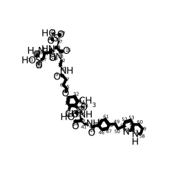 Cc1cc(OCCCC(=O)NCCNC(=O)[C@H](CS(=O)(=O)O)NC(=O)[C@@H](N)CS(=O)(=O)O)cc(C)c1S(=O)(=O)N[C@@H](CNC(=O)c1ccc(CCc2ccc3c(n2)NCCC3)cc1)C(=O)O